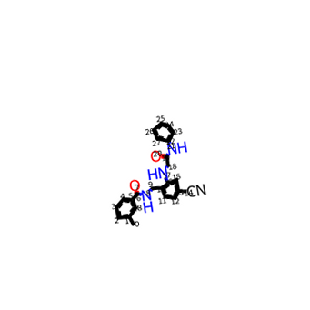 Cc1cccc(C(=O)NCc2ccc(C#N)cc2NCC(=O)Nc2ccccc2)c1